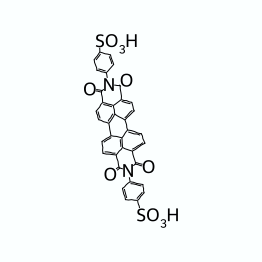 O=C1c2ccc3c4ccc5c6c(ccc(c7ccc(c2c37)C(=O)N1c1ccc(S(=O)(=O)O)cc1)c64)C(=O)N(c1ccc(S(=O)(=O)O)cc1)C5=O